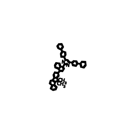 CC1(C)c2cc(-c3ccc(-c4nc(-c5ccc(-c6ccccc6)cc5)cc(-c5ccc(-c6ccccc6)cc5)n4)c4ccccc34)ccc2-c2ccc3ccccc3c21